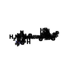 C/C=C\C(F)=C/C1C(=O)N(C)Cc2c(c(C#N)nn2CCNC(=O)CCCCCCCCC(=O)N2CCC([C@H](NC(=O)[C@H](C)NC)C(=O)N3CCC[C@H]3C3=NC(C(=O)c4ccc(F)cc4)CS3)CC2)-c2cnc(N)c(c2)O[C@@H]1C